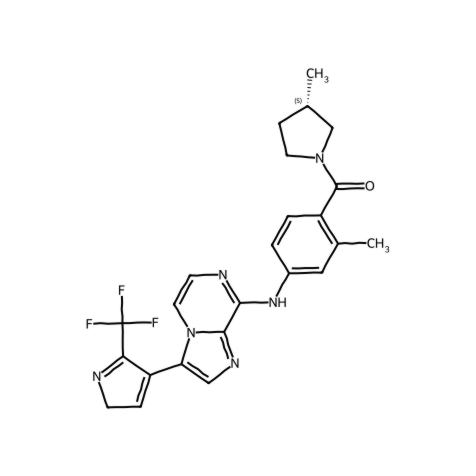 Cc1cc(Nc2nccn3c(C4=CCN=C4C(F)(F)F)cnc23)ccc1C(=O)N1CC[C@H](C)C1